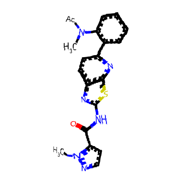 CC(=O)N(C)c1ccccc1-c1ccc2nc(NC(=O)c3ccnn3C)sc2n1